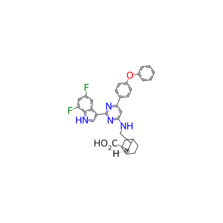 O=C(O)[C@@H]1C2CCC(CC2)C1CNc1cc(-c2ccc(Oc3ccccc3)cc2)nc(-c2c[nH]c3c(F)cc(F)cc23)n1